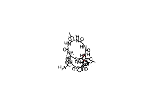 CC[C@H](C)[C@@H]1NC(=O)CNC(=O)[C@@H]2Cc3c([nH]c4ccccc34)SC[C@H](NC(=O)CNC1=O)C(=O)N[C@@H](CC(N)=O)C(=O)N1CCC[C@H]1C(=O)N[C@@H]([C@@H](C)CC)C(=O)N2